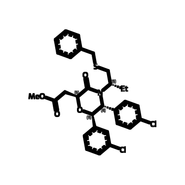 CC[C@@H](CSCc1ccccc1)N1C(=O)[C@H](CC(=O)OC)O[C@H](c2cccc(Cl)c2)[C@H]1c1ccc(Cl)cc1